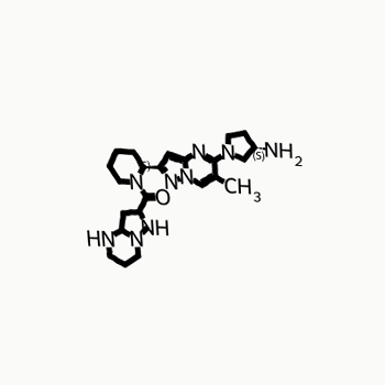 Cc1cn2nc([C@@H]3CCCCN3C(=O)C3CC4NCCCN4N3)cc2nc1N1CC[C@H](N)C1